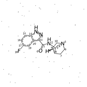 O=C(N[C@@H]1CN2CCC1CC2)c1n[nH]c2ccc(F)cc12